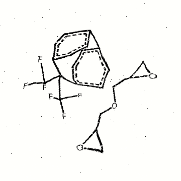 C(OCC1CO1)C1CO1.FC(F)(F)C1(C(F)(F)F)c2ccc(cc2)-c2ccc1cc2